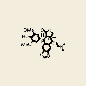 COc1cc([C@@H]2c3cc4c(cc3[C@@H]([CH]CN(C)C)[C@@H]3COC(=O)[C@H]23)OCO4)cc(OC)c1O